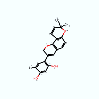 CCc1cc(C2=Cc3ccc4c(c3OC2)C=CC(C)(C)O4)c(O)cc1O